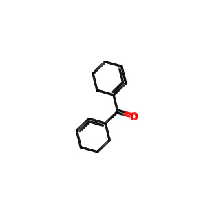 O=C(C1=C=CCCC1)C1=C=CCCC1